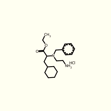 CCOC(=O)C(CC1CCCCC1)N(CCN)Cc1ccccc1.Cl